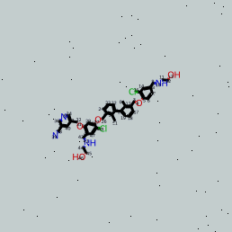 Cc1c(COc2ccc(CNCCO)cc2Cl)cccc1-c1cccc(COc2cc(OCc3cncc(C#N)c3)c(CNCCO)cc2Cl)c1C